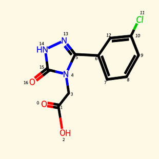 O=C(O)Cn1c(-c2cccc(Cl)c2)n[nH]c1=O